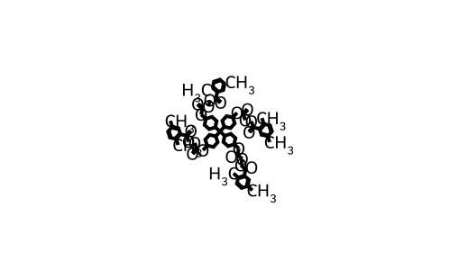 Cc1ccc(C)c(C(=O)OOC(=O)OC2CCC(C(C3CCC(OC(=O)OOC(=O)c4cc(C)ccc4C)CC3)(C3CCC(OC(=O)OOC(=O)c4cc(C)ccc4C)CC3)C3CCC(OC(=O)OOC(=O)c4cc(C)ccc4C)CC3)CC2)c1